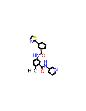 Cc1ccc(NC(=O)c2cccc(-c3nccs3)c2)cc1C(=O)Nc1cccnc1